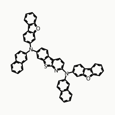 c1ccc2cc(N(c3ccc4c(c3)oc3ccccc34)c3ccc4c(c3)sc3nc(N(c5ccc6ccccc6c5)c5ccc6c(c5)oc5ccccc56)ccc34)ccc2c1